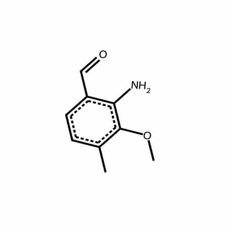 COc1c(C)ccc(C=O)c1N